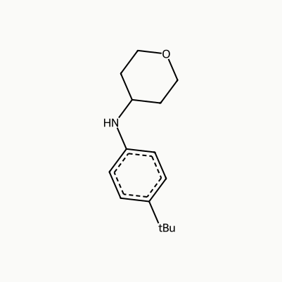 CC(C)(C)c1ccc(NC2CCOCC2)cc1